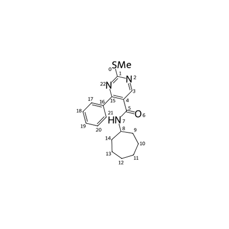 CSc1ncc(C(=O)NC2CCCCCC2)c(-c2ccccc2)n1